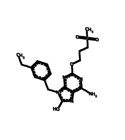 CCc1cccc(Cn2c(O)nc3c(N)nc(OCCCS(C)(=O)=O)nc32)c1